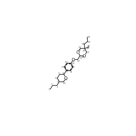 CCCC1CCC(c2ccc(OCC3OCC(F)(CCC)CO3)cc2)OC1